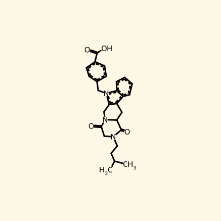 CC(C)CCN1CC(=O)N2Cc3c(c4ccccc4n3Cc3ccc(C(=O)O)cc3)CC2C1=O